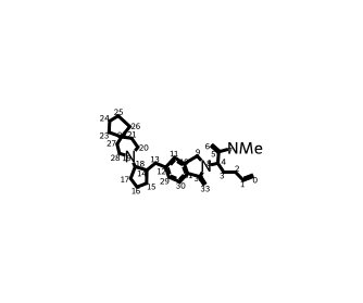 C=CCCC(C(=C)NC)N1Cc2cc(CC3CCCC3N3CCC4(CCCC4)CC3)ccc2C1=C